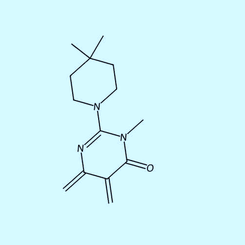 C=c1nc(N2CCC(C)(C)CC2)n(C)c(=O)c1=C